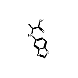 CC(Nc1ccc2scnc2c1)C(=O)O